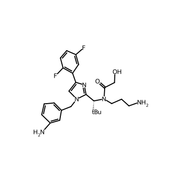 CC(C)(C)[C@H](c1nc(-c2cc(F)ccc2F)cn1Cc1cccc(N)c1)N(CCCN)C(=O)CO